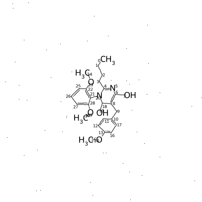 CCCCC1=NC(O)=C(Cc2ccc(OC)cc2)C(O)N1c1c(OC)cccc1OC